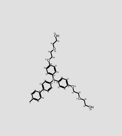 Cc1ccc(-c2ccc(N(c3ccc(OCCOCCO)cc3)c3ccc(OCCOCCO)cc3)cc2)cc1